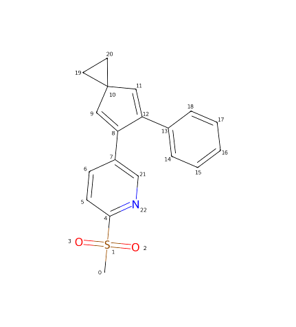 CS(=O)(=O)c1ccc(C2=CC3(C=C2c2ccccc2)CC3)cn1